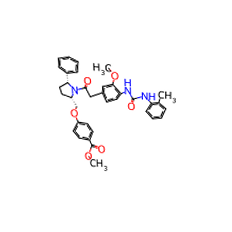 COC(=O)c1ccc(OC[C@@H]2CC[C@H](c3ccccc3)N2C(=O)Cc2ccc(NC(=O)Nc3ccccc3C)c(OC)c2)cc1